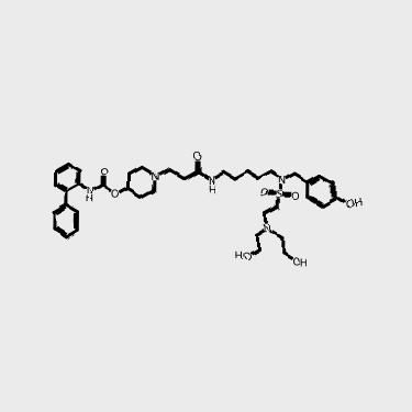 O=C(CCN1CCC(OC(=O)Nc2ccccc2-c2ccccc2)CC1)NCCCCCN(Cc1ccc(O)cc1)S(=O)(=O)CCN(CCO)CCO